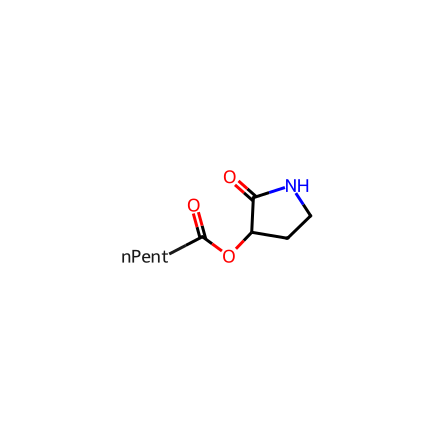 CCCCCC(=O)OC1CCNC1=O